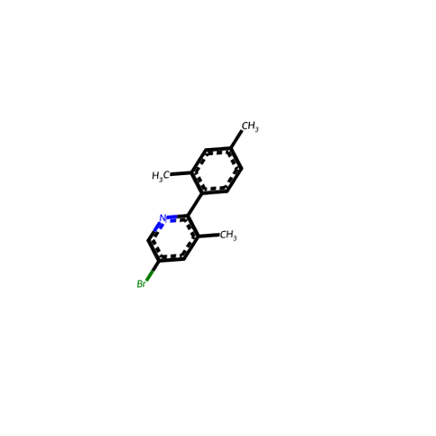 Cc1ccc(-c2ncc(Br)cc2C)c(C)c1